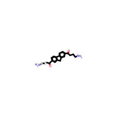 NCCCC(=O)c1ccc2c(c1)Cc1cc(C(=O)CCCN)ccc1-2